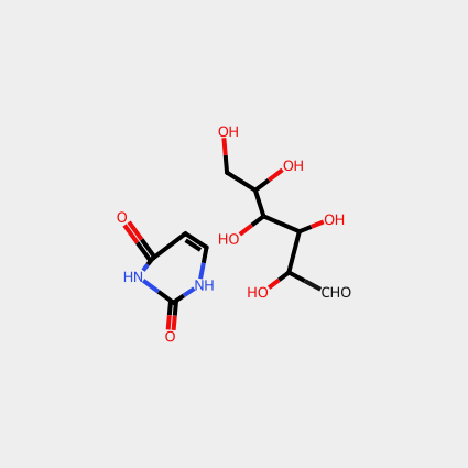 O=CC(O)C(O)C(O)C(O)CO.O=c1cc[nH]c(=O)[nH]1